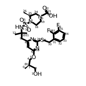 C[C@H](CO)COc1cc(CC(C)(C)NS(=O)(=O)N2CCN(C(=O)O)C[C@@H]2C)nc(SCc2cccc(F)c2F)n1